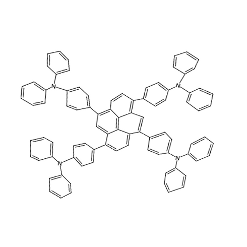 c1ccc(N(c2ccccc2)c2ccc(-c3cc4c(-c5ccc(N(c6ccccc6)c6ccccc6)cc5)ccc5c(-c6ccc(N(c7ccccc7)c7ccccc7)cc6)cc6c(-c7ccc(N(c8ccccc8)c8ccccc8)cc7)ccc3c6c54)cc2)cc1